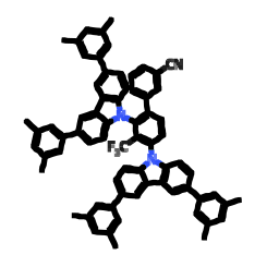 Cc1cc(C)cc(-c2ccc3c(c2)c2cc(-c4cc(C)cc(C)c4)ccc2n3-c2ccc(-c3cccc(C#N)c3)c(-n3c4ccc(-c5cc(C)cc(C)c5)cc4c4cc(-c5cc(C)cc(C)c5)ccc43)c2C(F)(F)F)c1